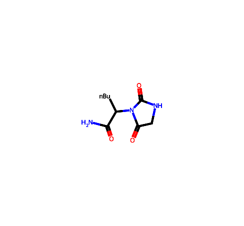 CCCCC(C(N)=O)N1C(=O)CNC1=O